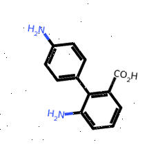 Nc1ccc(-c2c(N)cccc2C(=O)O)cc1